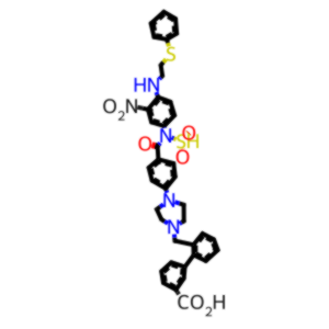 O=C(O)c1cccc(-c2ccccc2CN2CCN(c3ccc(C(=O)N(c4ccc(NCCSc5ccccc5)c([N+](=O)[O-])c4)[SH](=O)=O)cc3)CC2)c1